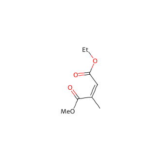 CCOC(=O)/C=C(/C)C(=O)OC